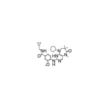 COc1cc(C(=O)NCC2CC2)ccc1NC1N=CC2=C(N1)N(C1CCCC1)CC(C)(C)C(=O)N2C